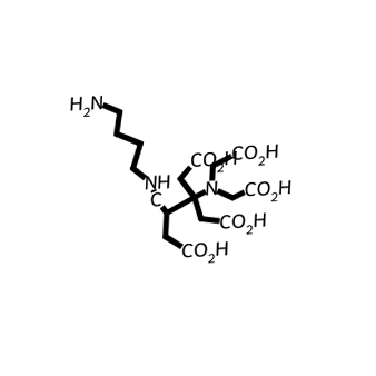 NCCCCNCC(CC(=O)O)C(CC(=O)O)(CC(=O)O)N(CC(=O)O)CC(=O)O